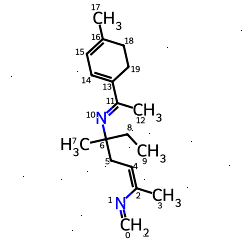 C=N/C(C)=C\CC(C)(CC)/N=C(\C)C1=CC=C(C)CC1